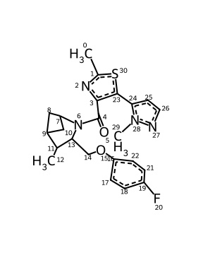 Cc1nc(C(=O)N2C3CC(C3)C(C)C2COc2ccc(F)cc2)c(-c2ccnn2C)s1